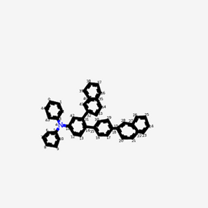 c1ccc(N(c2ccccc2)c2ccc(-c3ccc(-c4ccc5ccccc5c4)cc3)c(-c3ccc4ccccc4c3)c2)cc1